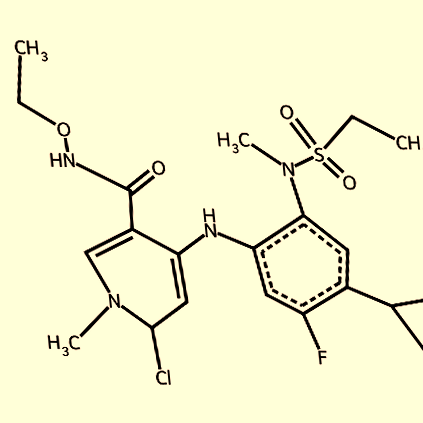 CCONC(=O)C1=CN(C)C(Cl)C=C1Nc1cc(F)c(C2CC2)cc1N(C)S(=O)(=O)CC